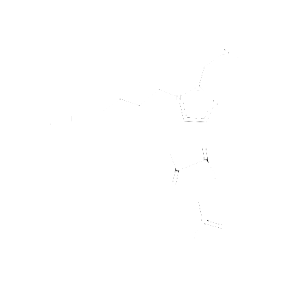 CCCCn1ccnc1CN.O=C(O)C(=O)O.O=[N+]([O-])[Pt+3].[Cl-].[Cl-].[Cl-]